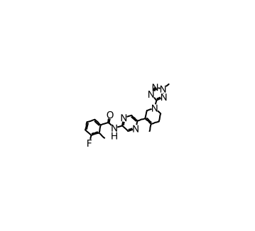 CC1=C(c2cnc(NC(=O)c3cccc(F)c3C)cn2)CN(c2nnn(C)n2)CC1